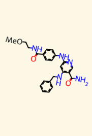 COCCNC(=O)c1ccc(Nc2cc(NCc3ccccc3)c(C(N)=O)cn2)cc1